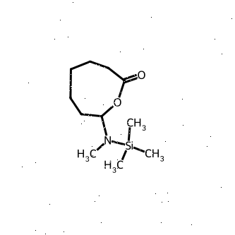 CN(C1CCCCCC(=O)O1)[Si](C)(C)C